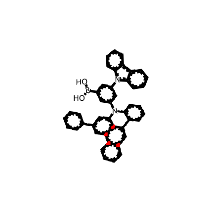 OB(O)c1cc(N(c2cc(-c3ccccc3)cc(-c3ccccc3)c2)c2ccccc2-c2ccccc2)cc(-n2c3ccccc3c3ccccc32)c1